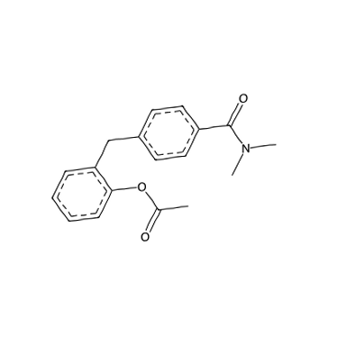 CC(=O)Oc1ccccc1Cc1ccc(C(=O)N(C)C)cc1